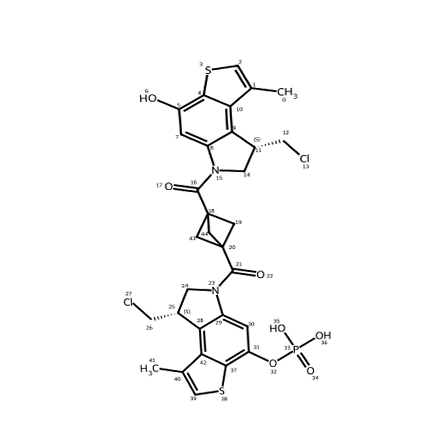 Cc1csc2c(O)cc3c(c12)[C@H](CCl)CN3C(=O)C12CC(C(=O)N3C[C@@H](CCl)c4c3cc(OP(=O)(O)O)c3scc(C)c43)(C1)C2